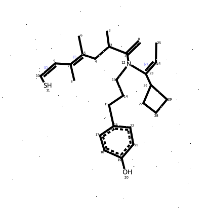 C=C(C(C)C/C(C)=C(C)/C=C\S)N(CCCc1ccc(O)cc1)/C(=C\C)C1CCC1